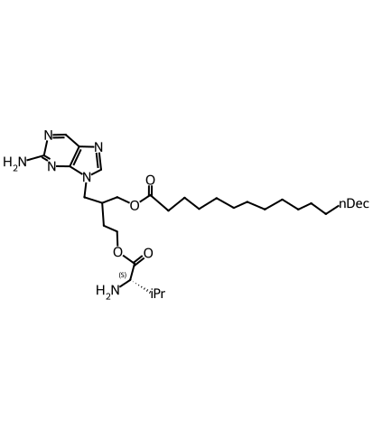 CCCCCCCCCCCCCCCCCCCCCC(=O)OCC(CCOC(=O)[C@@H](N)C(C)C)Cn1cnc2cnc(N)nc21